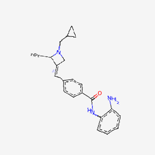 CCCC1/C(=C/c2ccc(C(=O)Nc3ccccc3N)cc2)CN1CC1CC1